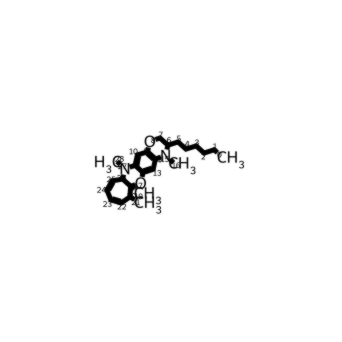 CCCCCCC1COc2cc3c(cc2N1C)OC1(C)C(C)C=CC=CC1N3C